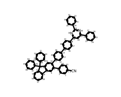 N#Cc1ccc(-c2cc3c(cc2-c2ccc(-c4ccc(-c5cc(-c6ccccc6)nc(-c6ccccc6)n5)cc4)cc2)C(c2ccccc2)(c2ccccc2)c2ccccc2-3)cc1